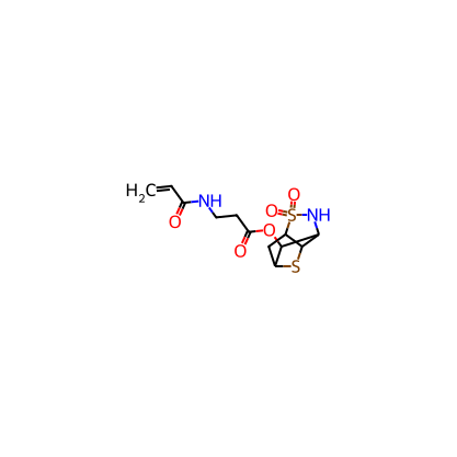 C=CC(=O)NCCC(=O)OC1C2CC3C(S2)C1NS3(=O)=O